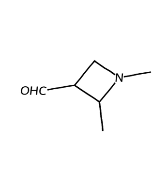 CC1C(C=O)CN1C